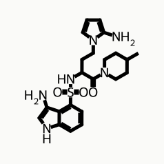 CC1CCN(C(=O)C(CCn2cccc2N)NS(=O)(=O)c2cccc3[nH]cc(N)c23)CC1